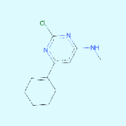 CNc1cc(C2=CCCCC2)nc(Cl)n1